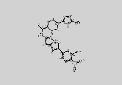 CC(C)c1noc(N2CCC([C@H](C)Oc3nn4cc(-c5ccc([SH](=O)=O)c(F)c5)nc4s3)CC2)n1